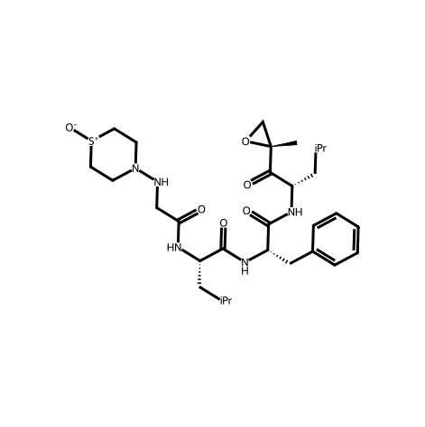 CC(C)C[C@H](NC(=O)CNN1CC[S+]([O-])CC1)C(=O)N[C@@H](Cc1ccccc1)C(=O)N[C@@H](CC(C)C)C(=O)[C@@]1(C)CO1